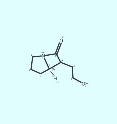 O=C1C(CCO)[C@H]2CCCN12